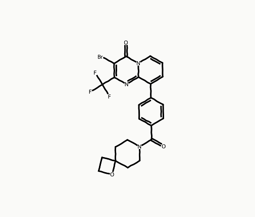 O=C(c1ccc(-c2cccn3c(=O)c(Br)c(C(F)(F)F)nc23)cc1)N1CCC2(CCO2)CC1